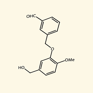 COc1ccc(CO)cc1OCc1cccc(C=O)c1